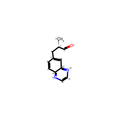 C[C@H](C=O)Cc1ccc2nccnc2c1